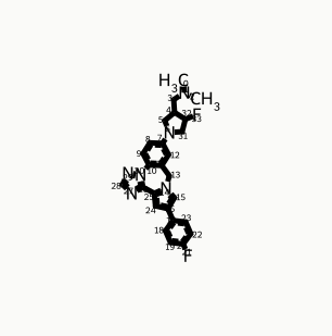 CN(C)CC1CN(c2ccc3c(c2)Cn2cc(-c4ccc(F)cc4)cc2-c2ncnn2-3)CC1F